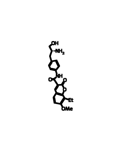 CCc1c(OC)ccc2cc(C(=O)Nc3ccc(C[C@@H](N)CO)cc3)c(=O)oc12